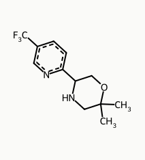 CC1(C)CNC(c2ccc(C(F)(F)F)cn2)CO1